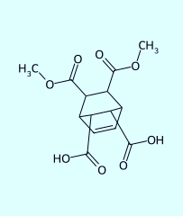 COC(=O)C1C2C=CC(C(C(=O)O)C2C(=O)O)C1C(=O)OC